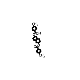 Cc1ccc(C(=O)Oc2ccc3cc(OC(O)c4ccc(C)cc4)ccc3c2)cc1